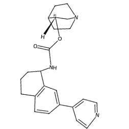 O=C(NC1CCCc2ccc(-c3ccncc3)cc21)O[C@H]1CN2CCC1CC2